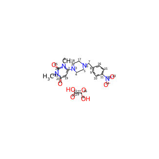 Cn1c(N2CCN(Cc3ccc([N+](=O)[O-])cc3)CC2)cc(=O)n(C)c1=O.O=C(O)C(=O)O